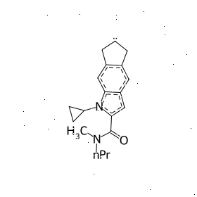 CCCN(C)C(=O)c1cc2cc3c(cc2n1C1CC1)C[C]C3